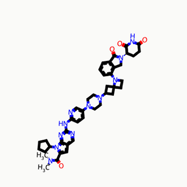 CN(C)C(=O)c1cc2cnc(Nc3ccc(N4CCN(C5CC6(CCN6c6cccc7c6CN([C@H]6CCC(=O)NC6=O)C7=O)C5)CC4)cn3)nc2n1C1CCCC1